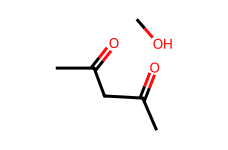 CC(=O)CC(C)=O.CO